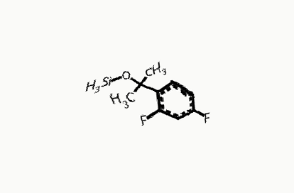 CC(C)(O[SiH3])c1ccc(F)cc1F